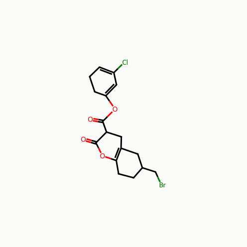 O=C(OC1=CC(Cl)=CCC1)C1CC2=C(CCC(CBr)C2)OC1=O